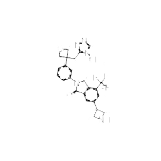 Cn1cnnc1CC1(c2cccc(N3Cc4c(cc(C5CNC5)cc4C(F)(F)F)C3=O)c2)COC1